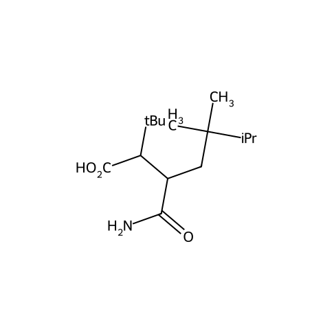 CC(C)C(C)(C)CC(C(N)=O)C(C(=O)O)C(C)(C)C